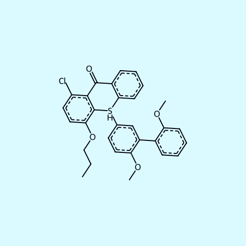 CCCOc1ccc(Cl)c2c1[SH](c1ccc(OC)c(-c3ccccc3OC)c1)c1ccccc1C2=O